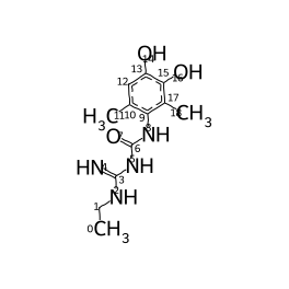 CCNC(=N)NC(=O)Nc1c(C)cc(O)c(O)c1C